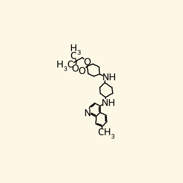 Cc1ccc2c(NC3CCC(NC4CCC5(CC4)OCC(C)(C)OO5)CC3)ccnc2c1